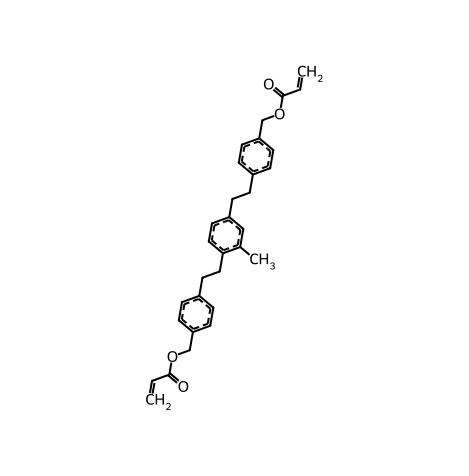 C=CC(=O)OCc1ccc(CCc2ccc(CCc3ccc(COC(=O)C=C)cc3)c(C)c2)cc1